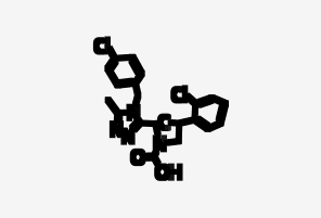 Cc1nnc(C2CC(c3ccccc3Cl)CN2C(=O)O)n1Cc1ccc(Cl)cc1